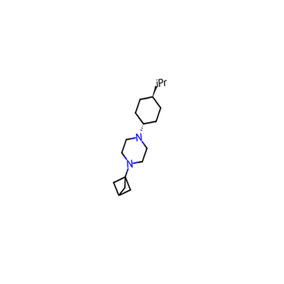 CC(C)[C@H]1CC[C@H](N2CCN(C34CC(C3)C4)CC2)CC1